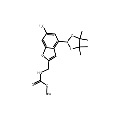 CC(C)(C)OC(=O)NCc1cc2c(B3OC(C)(C)C(C)(C)O3)cc(C(F)(F)F)cc2o1